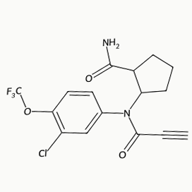 C#CC(=O)N(c1ccc(OC(F)(F)F)c(Cl)c1)C1CCCC1C(N)=O